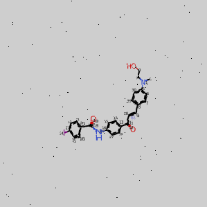 CN(CCO)c1ccc(/C=C/C(=O)c2ccc(NC(=O)c3ccc(I)cc3)cc2)cc1